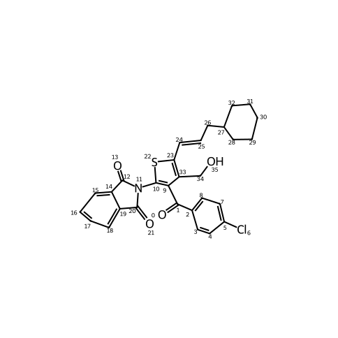 O=C(c1ccc(Cl)cc1)c1c(N2C(=O)c3ccccc3C2=O)sc(C=CCC2CCCCC2)c1CO